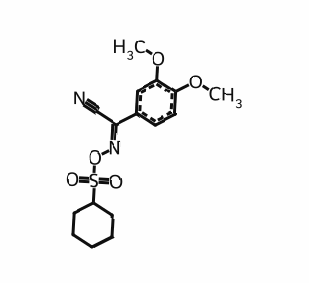 COc1ccc(/C(C#N)=N/OS(=O)(=O)C2CCCCC2)cc1OC